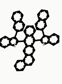 c1ccc2cc(-c3c(-c4c5ccccc5c(-c5sc6ccccc6c5-c5ccc6ccccc6c5)c5cc6c(ccc7ccccc76)cc45)sc4ccccc34)ccc2c1